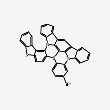 CC(C)c1ccc2c(c1)-n1c3ccccc3c3cc4c5ccccc5n5c4c(c31)B2c1ccc2sc3ccccc3c2c1-5